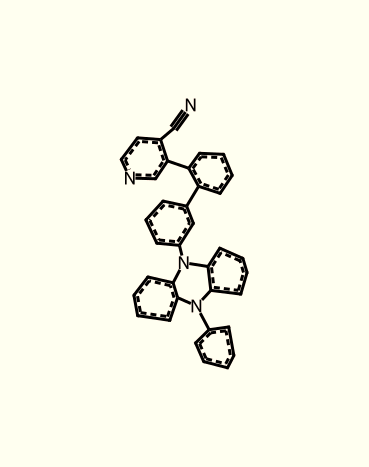 N#Cc1ccncc1-c1ccccc1-c1cccc(N2c3ccccc3N(c3ccccc3)c3ccccc32)c1